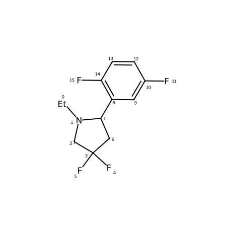 CCN1[CH]C(F)(F)CC1c1cc(F)ccc1F